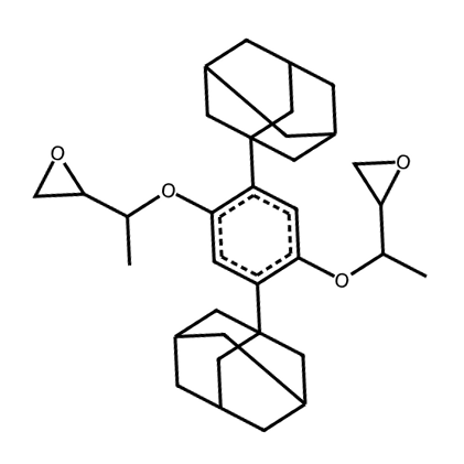 CC(Oc1cc(C23CC4CC(CC(C4)C2)C3)c(OC(C)C2CO2)cc1C12CC3CC(CC(C3)C1)C2)C1CO1